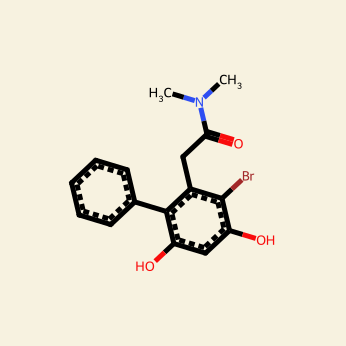 CN(C)C(=O)Cc1c(Br)c(O)cc(O)c1-c1ccccc1